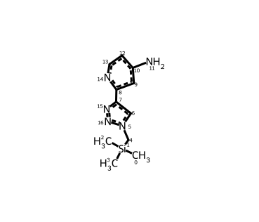 C[Si](C)(C)Cn1cc(-c2cc(N)ccn2)nn1